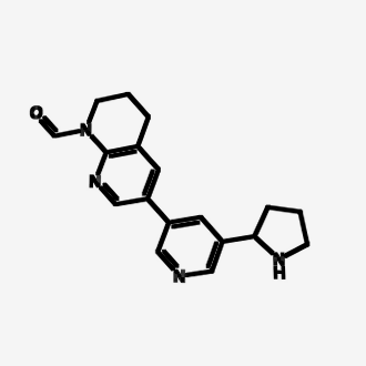 O=CN1CCCc2cc(-c3cncc(C4CCCN4)c3)cnc21